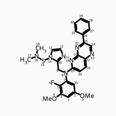 COc1cc(OC)c(F)c(N(Cc2nccn2SN(C)C)c2ccc3ncc(-c4ccccc4)nc3n2)c1